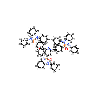 O=P1(c2ccc(-c3cc(P4(=O)N(c5ccccc5)c5ccccc5N4c4ccccc4)cc(-c4ccc(P5(=O)N(c6ccccc6)c6ccccc6N5c5ccccc5)cc4)n3)cc2)N(c2ccccc2)c2ccccc2N1c1ccccc1